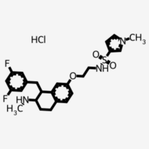 CNC1CCc2ccc(OCCNS(=O)(=O)c3ccn(C)c3)cc2C1Cc1cc(F)cc(F)c1.Cl